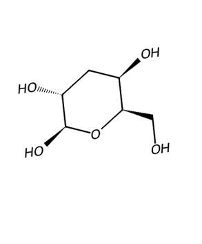 OC[C@H]1O[C@@H](O)[C@H](O)C[C@H]1O